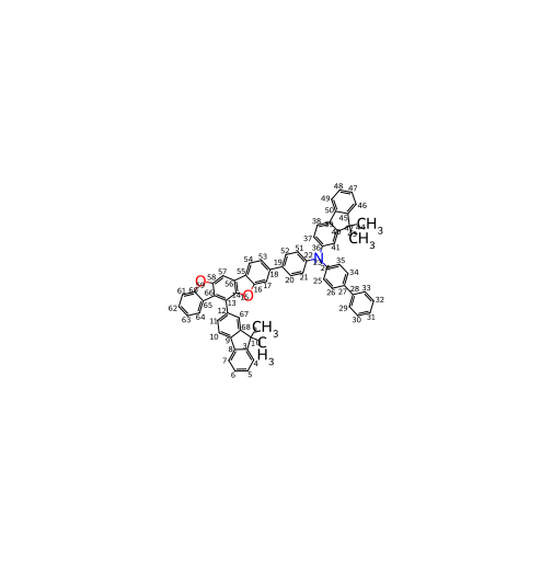 CC1(C)c2ccccc2-c2ccc(-c3c4oc5cc(-c6ccc(N(c7ccc(-c8ccccc8)cc7)c7ccc8c(c7)C(C)(C)c7ccccc7-8)cc6)ccc5c4cc4oc5ccccc5c34)cc21